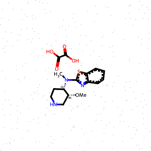 CO[C@@H]1CNCC[C@@H]1N(C)c1nc2ccccc2s1.O=C(O)C(=O)O